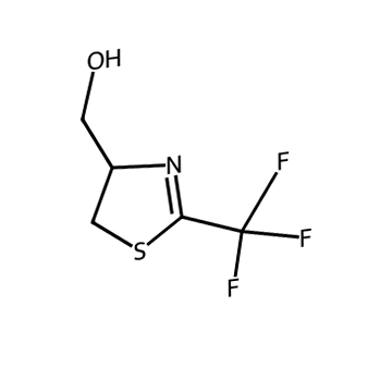 OCC1CSC(C(F)(F)F)=N1